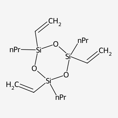 C=C[Si]1(CCC)O[Si](C=C)(CCC)O[Si](C=C)(CCC)O1